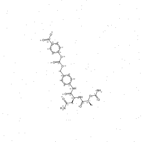 C[C@H](OC(N)=O)C(=O)N[C@@H](CC(N)=O)C(=O)Nc1ccc(COC(=O)Oc2ccc([N+](=O)[O-])cc2)cc1